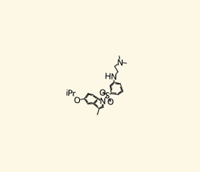 Cc1cn(S(=O)(=O)c2cccc(NCCN(C)C)c2)c2ccc(OC(C)C)cc12